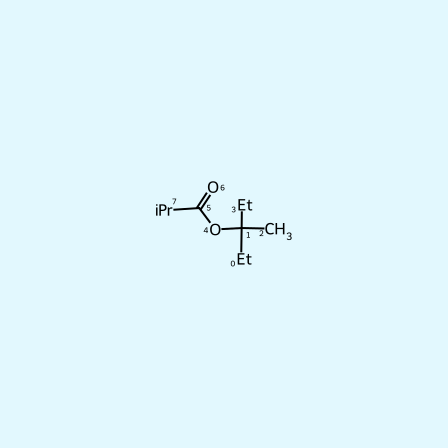 CCC(C)(CC)OC(=O)C(C)C